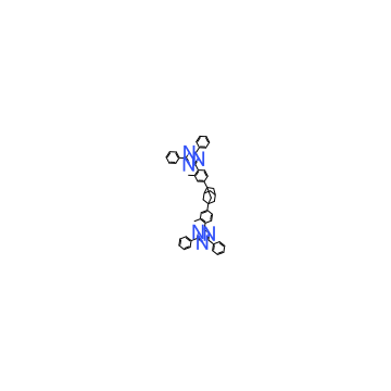 Cc1cc(C23CC4CC(C2)C(c2ccc(-c5nc(-c6ccccc6)nc(-c6ccccc6)n5)c(C)c2)(C4)C3)ccc1-c1nc(-c2ccccc2)nc(-c2ccccc2)n1